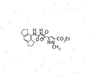 CCOC(=O)c1cc(S(=O)(=O)NC(=O)Nc2c3c(cc4c2CCC4)CCC3)nn1C